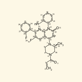 C=CC(=O)N1CCN(c2nc(=O)n(-c3ccccc3CCC)c3nc(-c4ccccc4F)c(F)cc23)[C@@H](C)C1